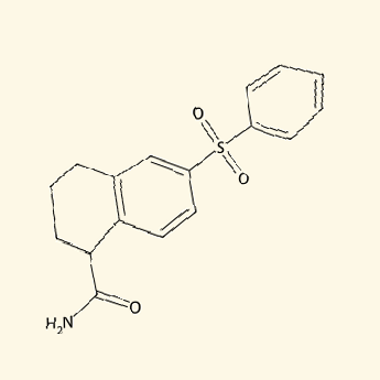 NC(=O)C1CCCc2cc(S(=O)(=O)c3ccccc3)ccc21